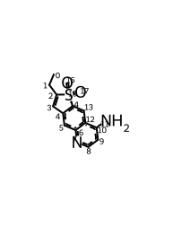 CCC1=Cc2cc3nccc(N)c3cc2S1(=O)=O